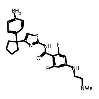 Bc1ccc(C2(c3csc(NC(=O)c4c(F)cc(NCCNC)cc4F)n3)CCCC2)cc1